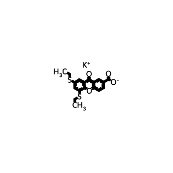 CCSc1cc(SCC)c2oc3ccc(C(=O)[O-])cc3c(=O)c2c1.[K+]